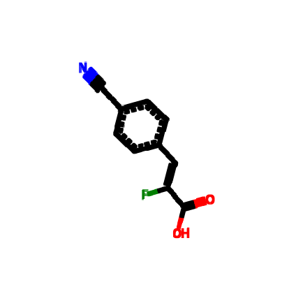 N#Cc1ccc(C=C(F)C(=O)O)cc1